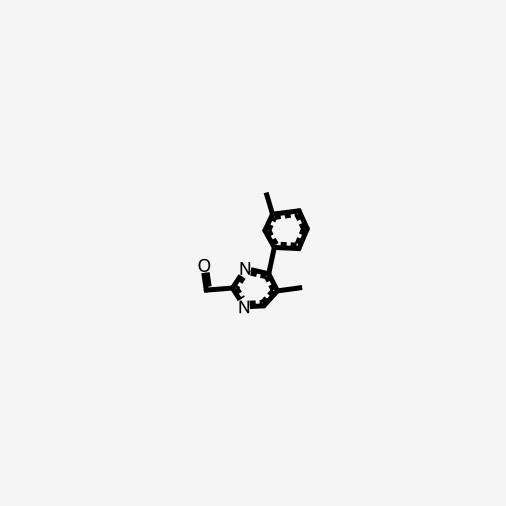 Cc1cccc(-c2nc(C=O)ncc2C)c1